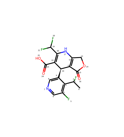 CC(F)c1c(F)cncc1[C@@H]1C2=C(COC2=O)NC(C(F)F)=C1C(=O)O